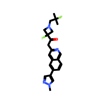 Cn1cc(-c2ccc3cnc(CC(=O)C4(F)CN(CC(C)(C)F)C4)cc3c2)cn1